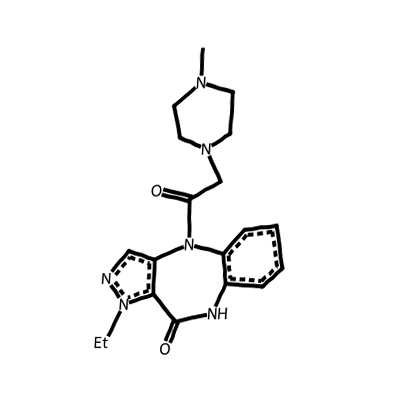 CCn1ncc2c1C(=O)Nc1ccccc1N2C(=O)CN1CCN(C)CC1